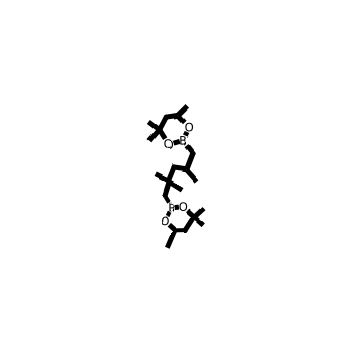 CC(CB1OC(C)CC(C)(C)O1)CC(C)(C)CB1OC(C)CC(C)(C)O1